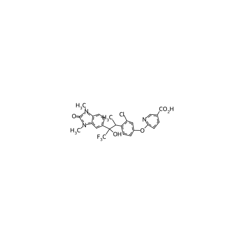 CC(c1ccc(Oc2ccc(C(=O)O)cn2)cc1Cl)C(O)(c1ccc2c(c1)n(C)c(=O)n2C)C(F)(F)F